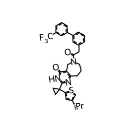 CC(C)c1csc(C2(c3nc4c(c(=O)[nH]3)CN(C(=O)Cc3cccc(-c5cccc(C(F)(F)F)c5)c3)CCC4)CC2)c1